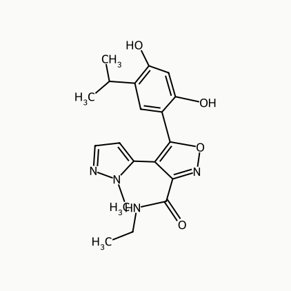 CCNC(=O)c1noc(-c2cc(C(C)C)c(O)cc2O)c1-c1ccnn1C